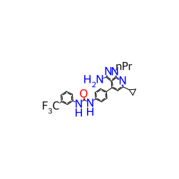 CCCn1nc(N)c2c(-c3ccc(NC(=O)Nc4cccc(C(F)(F)F)c4)cc3)cc(C3CC3)nc21